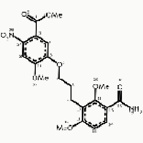 COC(=O)c1cc(OCCCc2c(OC)ccc(C(N)=O)c2OC)c(OC)cc1[N+](=O)[O-]